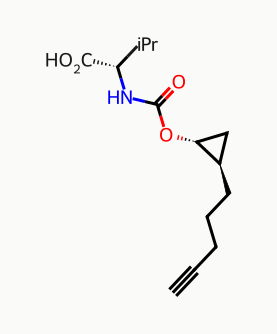 C#CCCC[C@@H]1C[C@H]1OC(=O)N[C@H](C(=O)O)C(C)C